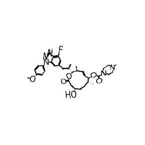 COc1ccc(-n2nnc3c(F)cc(/C=C(\C)[C@H]4OC(=O)C[C@@H](O)CC[C@@H](C)[C@H](OC(=O)N5CCN(C)CC5)/C=C/[C@@H]4C)cc32)cc1